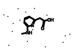 CNc1cccc(CC(=O)O)n1